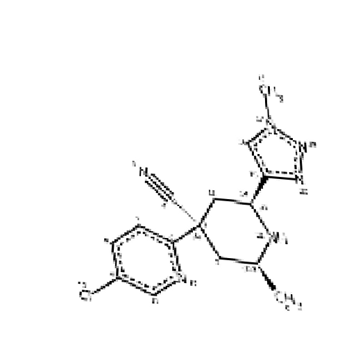 C[C@H]1C[C@@](C#N)(c2ccc(Cl)cn2)C[C@@H](c2cn(C)nn2)N1